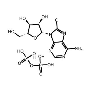 Nc1ncnc2c1nc(Cl)n2[C@@H]1O[C@H](CO)[C@@H](O)[C@H]1O.O=P(O)(O)OP(=O)(O)O